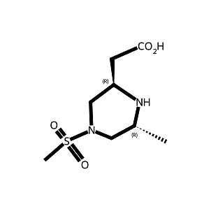 C[C@@H]1CN(S(C)(=O)=O)C[C@@H](CC(=O)O)N1